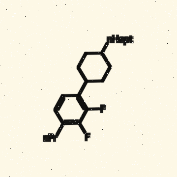 CCCCCCCC1CCC(c2ccc(CCC)c(F)c2F)CC1